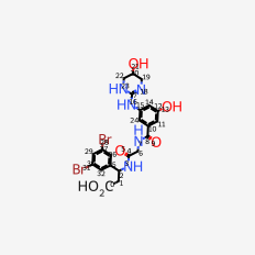 O=C(O)CC(NC(=O)CNC(=O)c1cc(O)cc(NC2=NCC(O)CN2)c1)c1cc(Br)cc(Br)c1